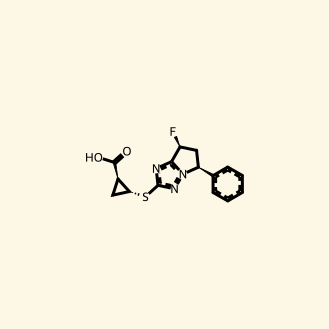 O=C(O)[C@@H]1C[C@H]1Sc1nc2n(n1)[C@H](c1ccccc1)C[C@@H]2F